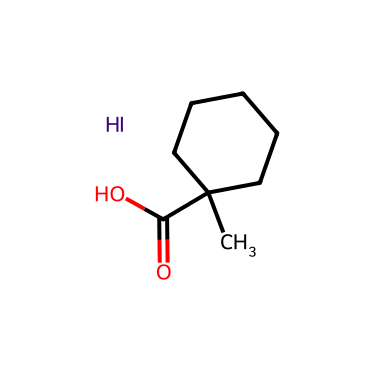 CC1(C(=O)O)CCCCC1.I